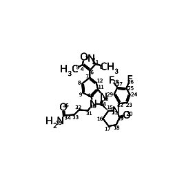 Cc1noc(C)c1-c1ccc2c(c1)nc([C@@H]1CCCC(=O)N1c1ccc(F)c(F)c1)n2CCCC(N)=O